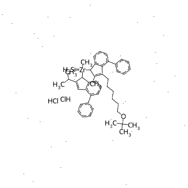 CC1=C(CCCCCCOC(C)(C)C)c2c(-c3ccccc3)cccc2[CH]1[Zr]([CH3])(=[SiH2])[CH]1C(C(C)C)=Cc2c(-c3ccccc3)cccc21.Cl.Cl